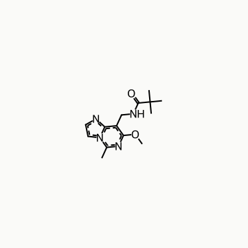 COc1nc(C)n2ccnc2c1CNC(=O)C(C)(C)C